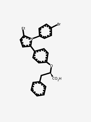 CCc1ccc(-c2ccc(O[C@H](Cc3ccccc3)C(=O)O)cc2)n1-c1ccc(Br)cc1